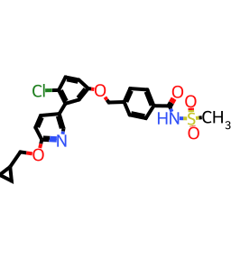 CS(=O)(=O)NC(=O)c1ccc(COc2ccc(Cl)c(-c3ccc(OCC4CC4)nc3)c2)cc1